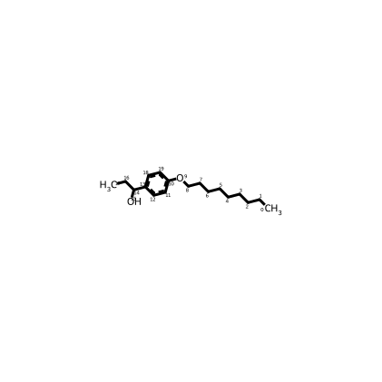 CCCCCCCCCOc1ccc(C(O)CC)cc1